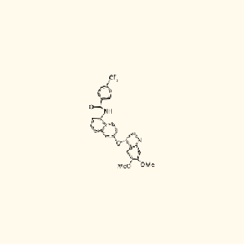 COc1cc2nccc(Oc3ccc4c(NC(=O)c5ccc(C(F)(F)F)cc5)cccc4c3)c2cc1OC